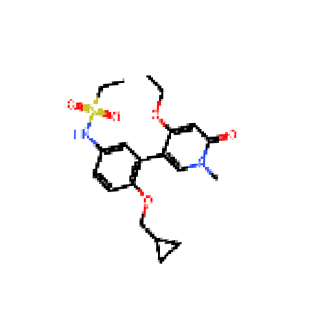 CCOc1cc(=O)n(C)cc1-c1cc(NS(=O)(=O)CC)ccc1OCC1CC1